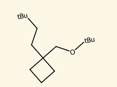 CC(C)(C)CCC1(COC(C)(C)C)CCC1